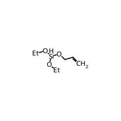 C=CCO[SiH](OCC)OCC